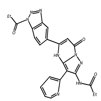 CCC(=O)Nc1nn2c(=O)cc(-c3ccc4c(c3)nnn4C(=O)CC)[nH]c2c1-c1ccccn1